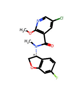 COc1ncc(Cl)cc1C(=O)N(C)[C@H]1COc2cc(F)ccc21